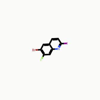 Fc1cc2nc(I)ccc2cc1Br